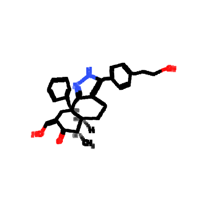 C[C@@H]1C(=O)C(=CO)C[C@]2(c3ccccc3)c3n[nH]c(-c4ccc(CCO)cc4)c3CC[C@@H]12